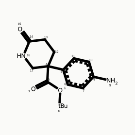 CC(C)(C)OC(=O)C1(c2ccc(N)cc2)CCC(=O)NC1